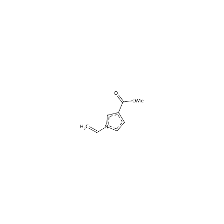 C=Cn1ccc(C(=O)OC)c1